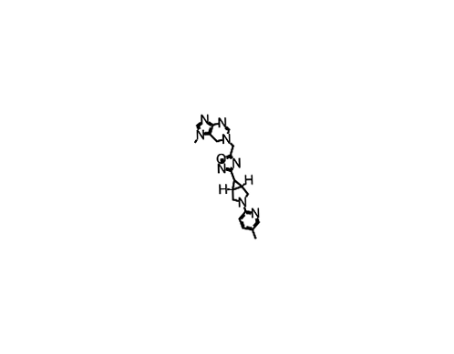 Cc1ccc(N2C[C@@H]3C(c4noc(CN5C=Nc6ncn(C)c6C5)n4)[C@@H]3C2)nc1